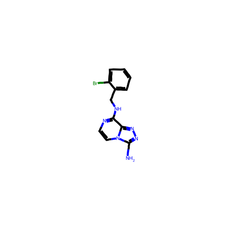 Nc1nnc2c(NCc3ccccc3Br)nccn12